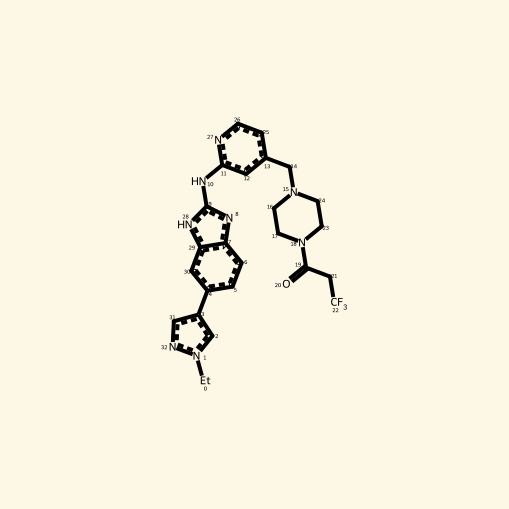 CCn1cc(-c2ccc3nc(Nc4cc(CN5CCN(C(=O)CC(F)(F)F)CC5)ccn4)[nH]c3c2)cn1